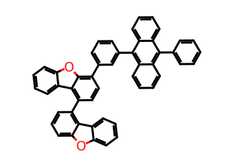 c1ccc(-c2c3ccccc3c(-c3cccc(-c4ccc(-c5cccc6oc7ccccc7c56)c5c4oc4ccccc45)c3)c3ccccc23)cc1